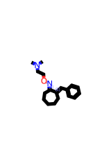 CN(C)CCO/N=C1\CCCCC\C1=C/c1ccccc1